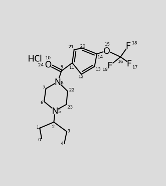 CCC(CC)N1CCN(C(=O)c2ccc(OC(F)(F)F)cc2)CC1.Cl